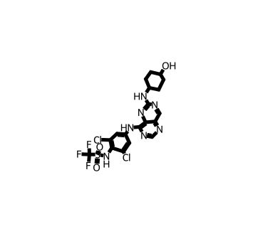 O=S(=O)(Nc1c(Cl)cc(Nc2ncnc3cnc(NC4CCC(O)CC4)nc23)cc1Cl)C(F)(F)F